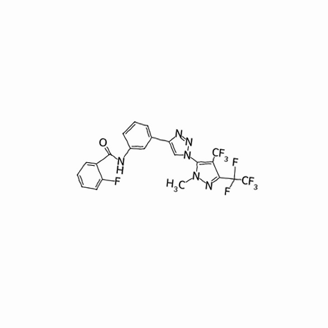 Cn1nc(C(F)(F)C(F)(F)F)c(C(F)(F)F)c1-n1cc(-c2cccc(NC(=O)c3ccccc3F)c2)nn1